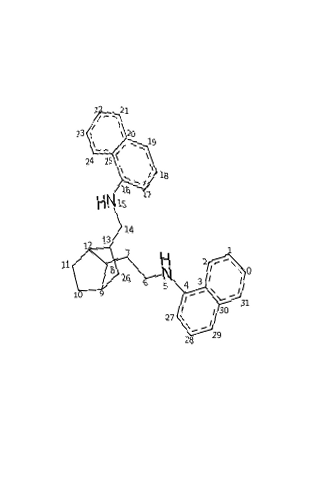 c1ccc2c(NCCC3C4CCC3C(CNc3cccc5ccccc35)C4)cccc2c1